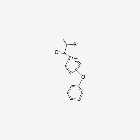 CC(Br)C(=O)c1ccc(Oc2ccccc2)cc1